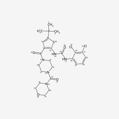 CC(C)(C)c1cc(C(=O)N2CCN(C(=O)N3CCOCC3)CC2)c(NC(=O)Nc2cccc(Cl)c2Cl)s1